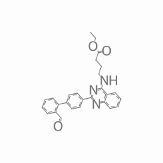 CCOC(=O)CCCNc1nc(-c2ccc(-c3ccccc3C=O)cc2)nc2ccccc12